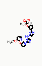 CCOc1cccnc1O[C@@H]1CCCN(c2cncc(Nc3ccnc(-c4cccc(OC(C)(C)C(=O)O)c4)n3)n2)C1